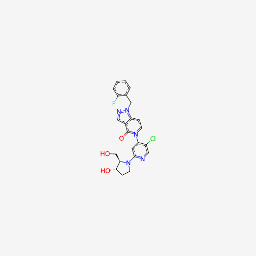 O=c1c2cnn(Cc3ccccc3F)c2ccn1-c1cc(N2CC[C@H](O)[C@H]2CO)ncc1Cl